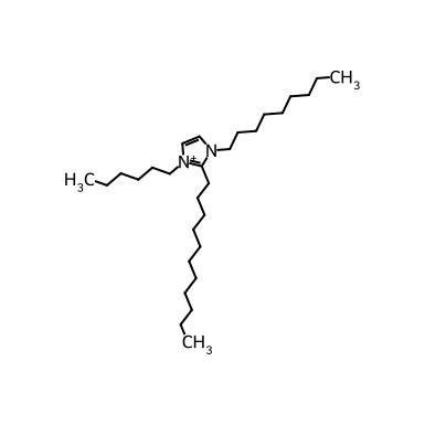 CCCCCCCCCCCc1n(CCCCCCCCC)cc[n+]1CCCCCC